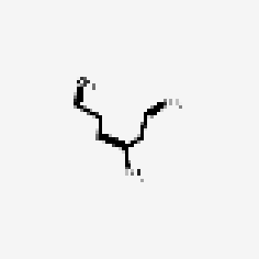 BC(=CCC=C)CC=C